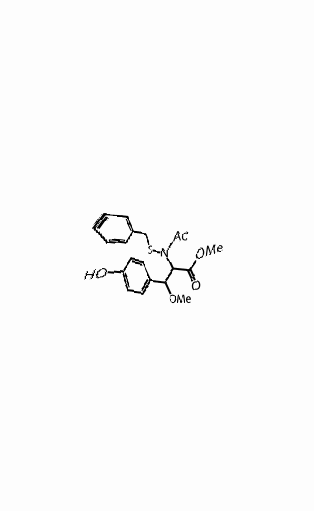 COC(=O)C(C(OC)c1ccc(O)cc1)N(SCc1ccccc1)C(C)=O